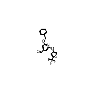 O=Cc1cc(OCc2ccccc2)nc(Oc2csc(C(F)(F)F)c2)c1